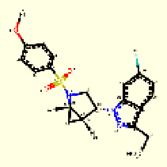 CCOc1ccc(S(=O)(=O)N2C[C@H](n3nc(CC(=O)O)c4ccc(F)cc43)[C@@H]3C[C@@H]32)cc1